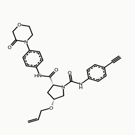 C#Cc1ccc(NC(=O)N2C[C@H](OCC=C)C[C@@H]2C(=O)Nc2ccc(N3CCOCC3=O)cc2)cc1